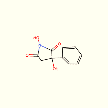 O=C1CC(O)(c2ccccc2)C(=O)N1O